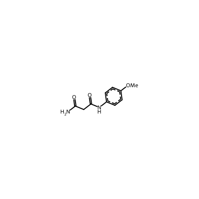 COc1ccc(NC(=O)CC(N)=O)cc1